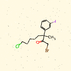 CC(CCCCCCl)(C(=O)CBr)c1cccc(I)c1